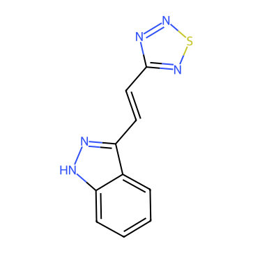 C(=C\c1n[nH]c2ccccc12)/c1nnsn1